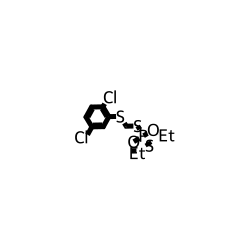 CCOP(=S)(OCC)SCSc1cc(Cl)ccc1Cl